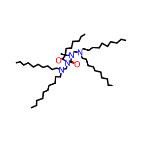 CCCCCCCCCCN(CCCCCCCCCC)CN1C(=O)N(CN(CCCCCCCCCC)CCCCCCCCCC)C(C)(CCCCCC)C1=O